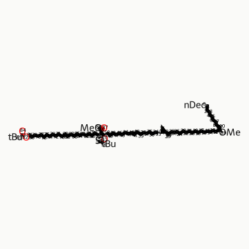 CCCCCCCCCCCCCCCCCC[C@H](C)[C@H](CCCCCCCCCCCCCCCC[C@H](C)C1C[C@H]1CCCCCCCCC=CCCCCCCCC[C@@H](O[Si](C)(C)C(C)(C)C)[C@@H](CCCCCCCCCCCCCCCCCCCCCCCCOC(=O)C(C)(C)C)C(=O)OC)OC